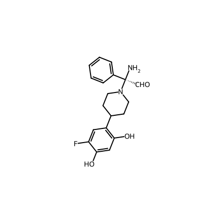 N[C@](C=O)(c1ccccc1)N1CCC(c2cc(F)c(O)cc2O)CC1